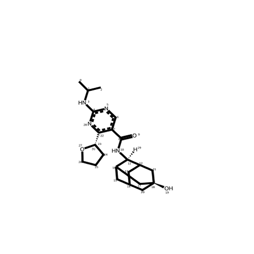 CC(C)Nc1ncc(C(=O)N[C@H]2C3CC4CC2C[C@@](O)(C4)C3)c([C@@H]2CCCO2)n1